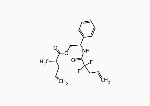 C=CCC(C)C(=O)OC[C@H](NC(=O)C(F)(F)CC=C)c1ccccc1